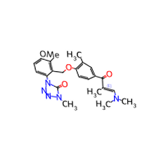 COc1cccc(-n2nnn(C)c2=O)c1COc1ccc(C(=O)/C(C)=C/N(C)C)cc1C